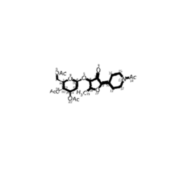 CC(=O)OC[C@H]1O[C@@H](OC2C(=O)C(=C3CCN(C(C)=O)CC3)OC2C)C[C@@H](OC(C)=O)[C@@H]1OC(C)=O